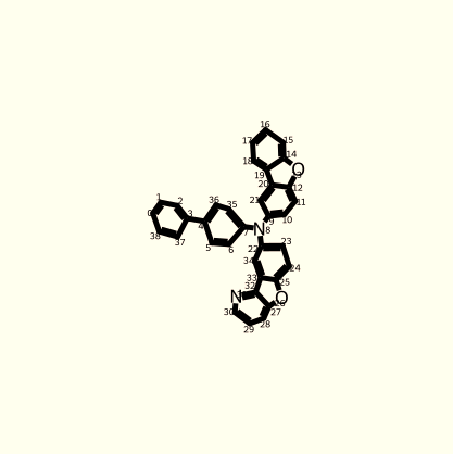 c1ccc(-c2ccc(N(c3ccc4oc5ccccc5c4c3)c3ccc4oc5cccnc5c4c3)cc2)cc1